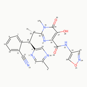 Cc1cnc([C@@H](c2ccccc2C#N)[C@H](C)c2nc(C(=O)Nc3cnoc3)c(O)c(=O)n2C)cn1